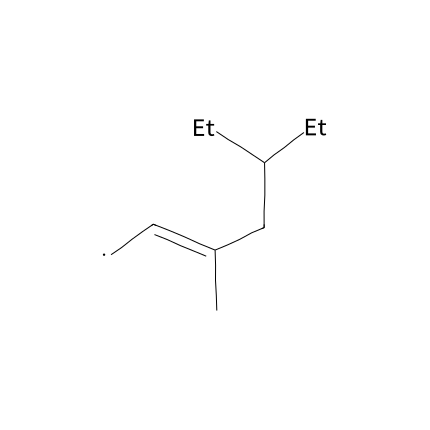 [CH2]C=C(C)CC(CC)CC